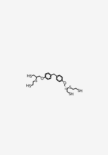 SCCSC(CS)COc1ccc(Cc2ccc(OC[C@@H](CS)SCCS)cc2)cc1